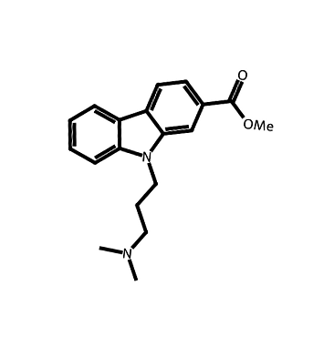 COC(=O)c1ccc2c3ccccc3n(CCCN(C)C)c2c1